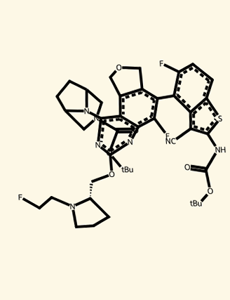 CC(C)(C)OC(=O)Nc1sc2ccc(F)c(-c3c4c(c5c(N6C7CCC6CN(C(=O)OC(C)(C)C)C7)nc(OC[C@@H]6CCCN6CCF)nc5c3F)COC4)c2c1C#N